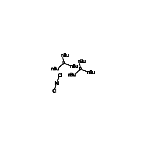 CCCCP(CCCC)CCCC.CCCCP(CCCC)CCCC.[Cl][Ni][Cl]